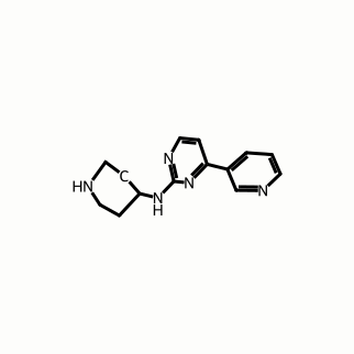 c1cncc(-c2ccnc(NC3CCNCC3)n2)c1